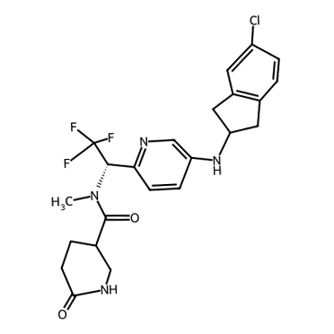 CN(C(=O)C1CCC(=O)NC1)[C@@H](c1ccc(NC2Cc3ccc(Cl)cc3C2)cn1)C(F)(F)F